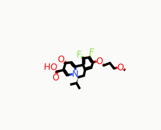 COCCCOc1cc2c(c(F)c1F)-c1cc(=O)c(C(=O)O)cn1[C@@H](C(C)C)C2